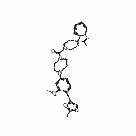 COc1cc(N2CCN(C(=O)N3CCC(C(C)=O)(c4ccccc4)CC3)CC2)ccc1-c1cnc(C)o1